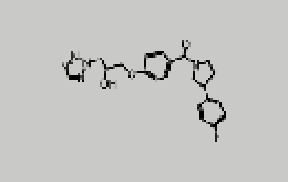 O=C(c1ccc(OC[C@@H](O)Cn2ncnn2)cc1)N1CC[C@@H](c2ccc(F)cc2)C1